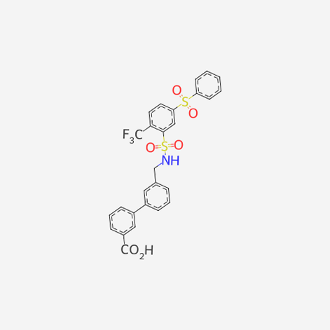 O=C(O)c1cccc(-c2cccc(CNS(=O)(=O)c3cc(S(=O)(=O)c4ccccc4)ccc3C(F)(F)F)c2)c1